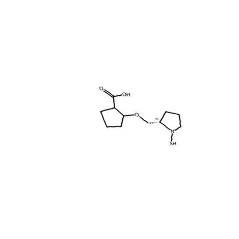 O=C(O)C1CCCC1OC[C@@H]1CCCN1S